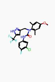 COc1cc(C)c(N(Cc2cc(C(F)(F)F)[nH]n2)C(=O)Nc2ccc(F)c(Cl)c2)c(C)c1